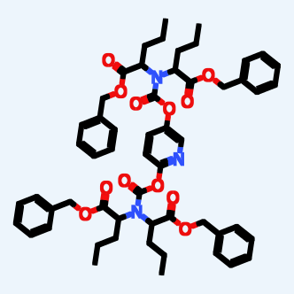 CCCC(C(=O)OCc1ccccc1)N(C(=O)Oc1ccc(OC(=O)N(C(CCC)C(=O)OCc2ccccc2)C(CCC)C(=O)OCc2ccccc2)nc1)C(CCC)C(=O)OCc1ccccc1